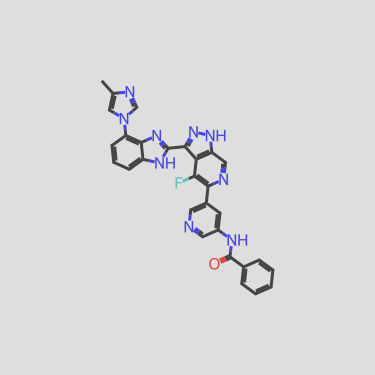 Cc1cn(-c2cccc3[nH]c(-c4n[nH]c5cnc(-c6cncc(NC(=O)c7ccccc7)c6)c(F)c45)nc23)cn1